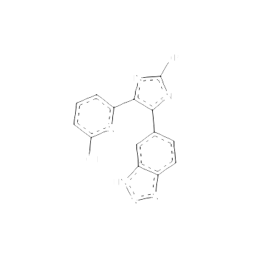 Cc1cccc(-c2[nH]c(C(C)(C)C)nc2-c2ccc3nn[nH]c3c2)n1